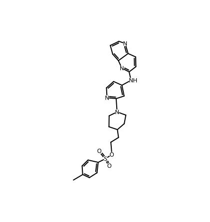 Cc1ccc(S(=O)(=O)OCCC2CCN(c3cc(Nc4ccc5ncccc5n4)ccn3)CC2)cc1